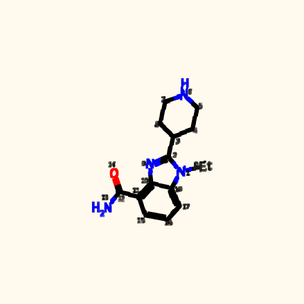 CCn1c(C2CCNCC2)nc2c(C(N)=O)cccc21